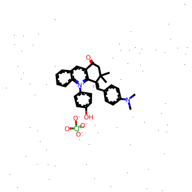 CN(C)c1ccc(/C=C2/c3c(cc4ccccc4[n+]3-c3ccc(O)cc3)C(=O)CC2(C)C)cc1.[O-][Cl+3]([O-])([O-])[O-]